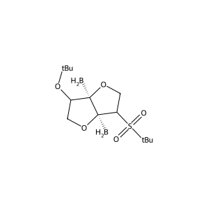 B[C@]12OCC(S(=O)(=O)C(C)(C)C)[C@@]1(B)OCC2OC(C)(C)C